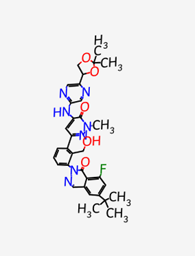 Cn1nc(-c2cccc(-n3ncc4cc(C(C)(C)C)cc(F)c4c3=O)c2CO)cc(Nc2cnc(C3COC(C)(C)O3)cn2)c1=O